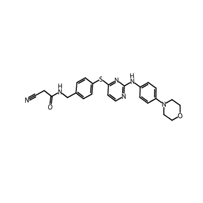 N#CCC(=O)NCc1ccc(Sc2ccnc(Nc3ccc(N4CCOCC4)cc3)n2)cc1